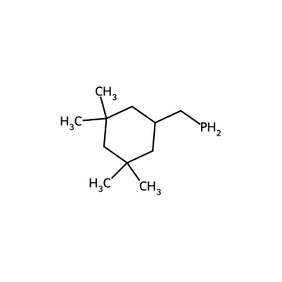 CC1(C)CC(CP)CC(C)(C)C1